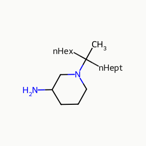 CCCCCCCC(C)(CCCCCC)N1CCCC(N)C1